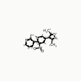 Cc1noc(C)c1-c1cnc(-c2cccnc2F)c([N+](=O)[O-])c1